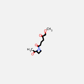 COCC(=O)CCCC(=O)N1CCC1C(C)=O